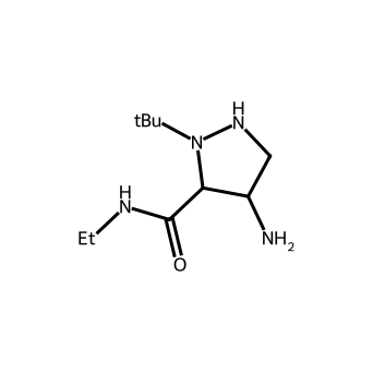 CCNC(=O)C1C(N)CNN1C(C)(C)C